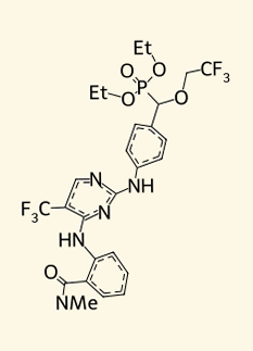 CCOP(=O)(OCC)C(OCC(F)(F)F)c1ccc(Nc2ncc(C(F)(F)F)c(Nc3ccccc3C(=O)NC)n2)cc1